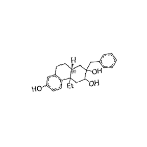 CCC12CC(O)C(O)(Cc3ccccc3)C[C@H]1CCc1cc(O)ccc12